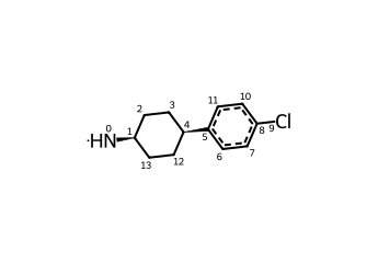 [NH][C@H]1CC[C@@H](c2ccc(Cl)cc2)CC1